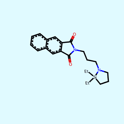 CC[Si]1(CC)CCCN1CCCN1C(=O)c2cc3ccccc3cc2C1=O